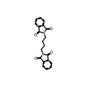 O=C1c2ccccc2C(=O)N1CCCCN1C(=O)c2ccccc2C1=O